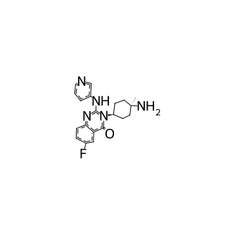 C[C@]1(N)CC[C@@H](n2c(Nc3cccnc3)nc3ccc(F)cc3c2=O)CC1